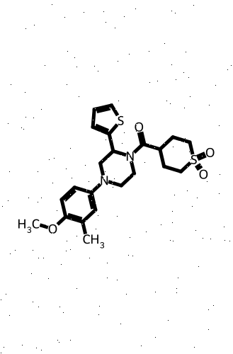 COc1ccc(N2CCN(C(=O)C3CCS(=O)(=O)CC3)C(c3cccs3)C2)cc1C